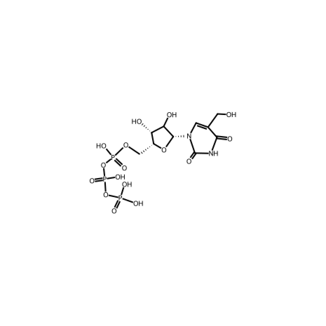 O=c1[nH]c(=O)n([C@@H]2O[C@H](COP(=O)(O)OP(=O)(O)OP(=O)(O)O)[C@H](O)C2O)cc1CO